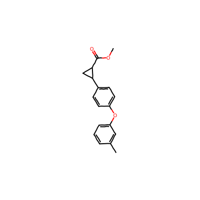 COC(=O)C1CC1c1ccc(Oc2cccc(C)c2)cc1